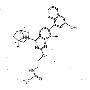 CC(=O)NCCOc1nc(N2C[C@H]3CC[C@@H](C2)N3)c2ccc(-c3cc(O)cc4ccccc34)c(F)c2n1